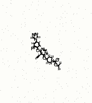 C#Cc1c(Oc2ccc(-n3cnnc3)cc2F)ncnc1OC1CCN(C(=O)OC(C)C)CC1